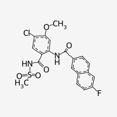 COc1cc(NC(=O)c2ccc3cc(F)ccc3c2)c(C(=O)NS(C)(=O)=O)cc1Cl